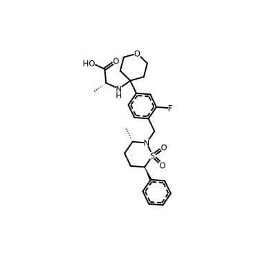 C[C@@H](NC1(c2ccc(CN3[C@@H](C)CC[C@H](c4ccccc4)S3(=O)=O)c(F)c2)CCOCC1)C(=O)O